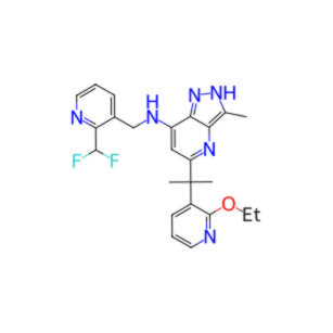 CCOc1ncccc1C(C)(C)c1cc(NCc2cccnc2C(F)F)c2n[nH]c(C)c2n1